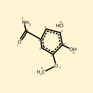 COc1cc(C(N)=O)ccc1O.Cl